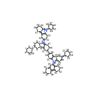 c1ccc(-c2ccc3c(c2)c2cc(-c4ccc5c(c4)c4cc(-c6ccccc6)ccc4n5-c4cc5ccccc5c5ccccc45)ccc2n3-c2ccc3c(c2)c2ccccc2n3-c2ccccc2)cc1